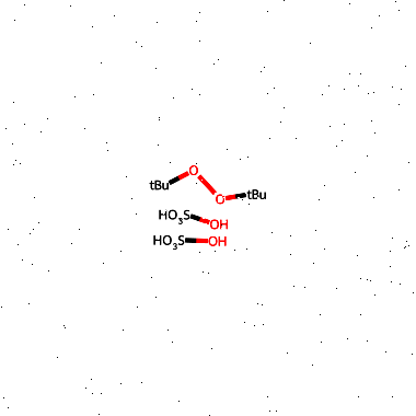 CC(C)(C)OOC(C)(C)C.O=S(=O)(O)O.O=S(=O)(O)O